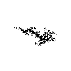 CCCCCC(C)CCCC(C)CCC(=O)NCCN[C@H](O)[C@H](OC(C)=O)[C@@H](OC(C)=O)[C@H](OC(C)=O)[C@@H](COC(C)=O)OC(C)=O